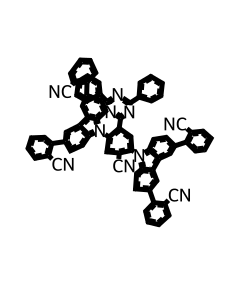 N#Cc1ccccc1-c1ccc2c(c1)c1cc(-c3ccccc3C#N)ccc1n2-c1cc(-c2nc(-c3ccccc3)nc(-c3ccccc3)n2)c(-n2c3ccc(-c4ccccc4C#N)cc3c3cc(-c4ccccc4C#N)ccc32)cc1C#N